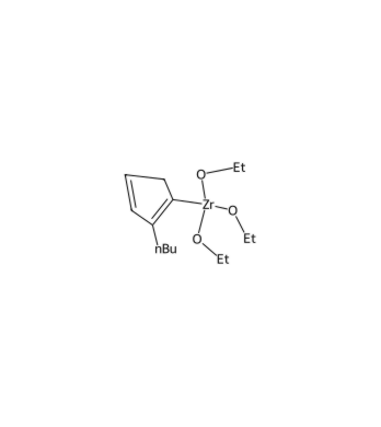 CCCCC1=[C]([Zr]([O]CC)([O]CC)[O]CC)CC=C1